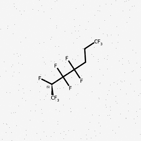 F[C@H](C(F)(F)F)C(F)(F)C(F)(F)C[CH]C(F)(F)F